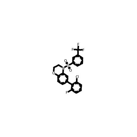 O=S(=O)(c1cccc(C(F)(F)F)c1)N1CCOc2ccc(-c3c(F)cccc3Cl)cc21